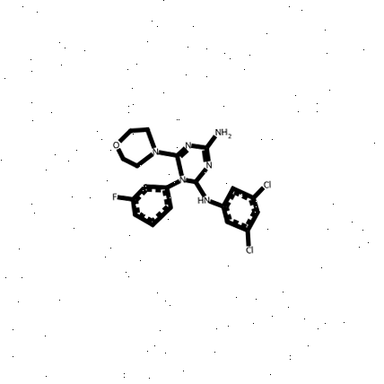 NC1=NC(Nc2cc(Cl)cc(Cl)c2)N(c2cccc(F)c2)C(N2CCOCC2)=N1